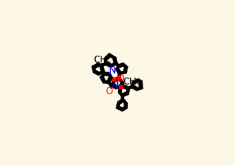 Cc1ccccc1-c1cccc2c3cccc(-c4ccccc4C)c3n(-c3cccc4c3C(=O)N(c3cc(-c5ccccc5)cc(-c5ccccc5)c3)C4=O)c12